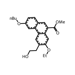 CCCCOc1ccc2cc(C(=O)OC)c3cc(OCC)c(CCO)cc3c2c1